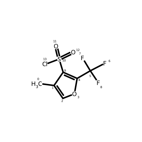 Cc1coc(C(F)(F)F)c1S(=O)(=O)Cl